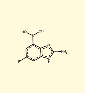 Nc1nc2c(B(O)O)cc(F)cc2[nH]1